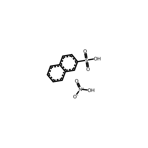 O=S(=O)(O)c1ccc2ccccc2c1.O=[N+]([O-])O